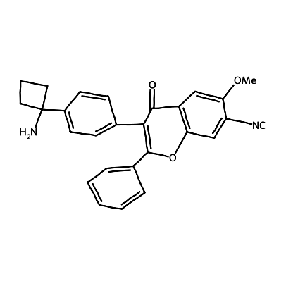 [C-]#[N+]c1cc2oc(-c3ccccc3)c(-c3ccc(C4(N)CCC4)cc3)c(=O)c2cc1OC